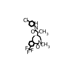 C[C@@H](C(=O)Nc1ccc(Cl)cc1)[C@H]1CCc2ccc(C(F)(F)F)cc2C(=O)N(C)CC1